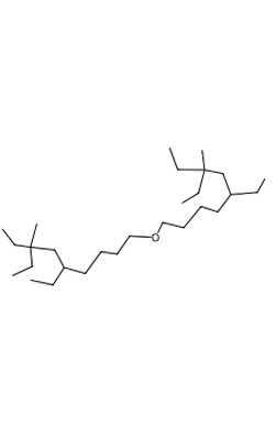 CCC(CCCCOCCCCC(CC)CC(C)(CC)CC)CC(C)(CC)CC